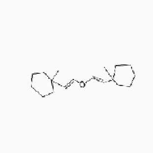 CC1(/C=C/O/C=C/C2(C)CCCCC2)CCCCC1